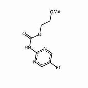 CCc1cnc(NC(=O)OCCOC)nc1